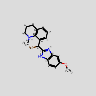 COc1ccc2[nH]c(C(S)c3cccc4c3N(C)CCC4)nc2c1